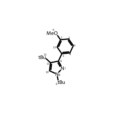 COc1cccc(-c2nn(C(C)(C)C)cc2C(C)(C)C)c1